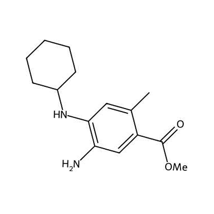 COC(=O)c1cc(N)c(NC2CCCCC2)cc1C